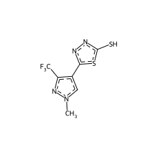 Cn1cc(-c2nnc(S)s2)c(C(F)(F)F)n1